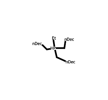 CCCCCCCCCCC[PH](CC)(CCCCCCCCCCC)CCCCCCCCCCC